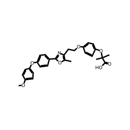 COc1ccc(Oc2ccc(-c3nc(CCOc4ccc(OC(C)(C)C(=O)O)cc4)c(C)o3)cc2)cc1